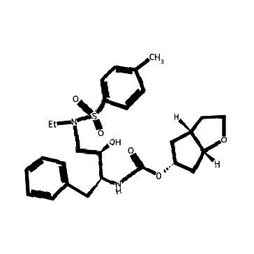 CCN(C[C@@H](O)[C@H](Cc1ccccc1)NC(=O)O[C@@H]1C[C@@H]2CCO[C@@H]2C1)S(=O)(=O)c1ccc(C)cc1